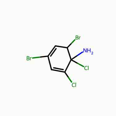 NC1(Cl)C(Cl)=CC(Br)=CC1Br